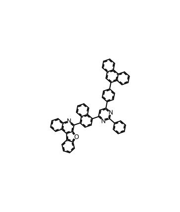 c1ccc(-c2nc(-c3ccc(-c4cc5ccccc5c5ccccc45)cc3)cc(-c3ccc(-c4nc5ccccc5c5c4oc4ccccc45)c4ccccc34)n2)cc1